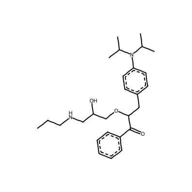 CCCNCC(O)COC(Cc1ccc(N(C(C)C)C(C)C)cc1)C(=O)c1ccccc1